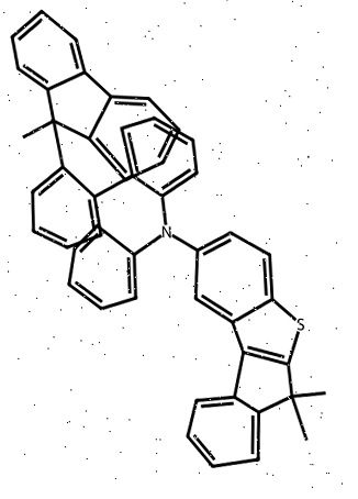 CC1(C)c2ccccc2-c2c1sc1ccc(N(c3ccccc3)c3ccccc3-c3ccccc3C3(C)c4ccccc4-c4ccccc43)cc21